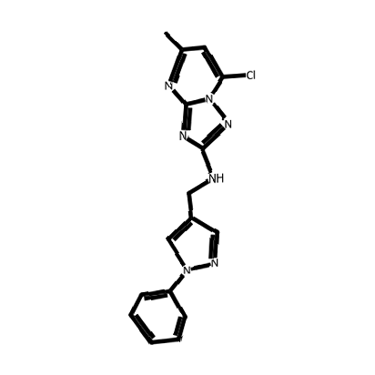 Cc1cc(Cl)n2nc(NCc3cnn(-c4ccccc4)c3)nc2n1